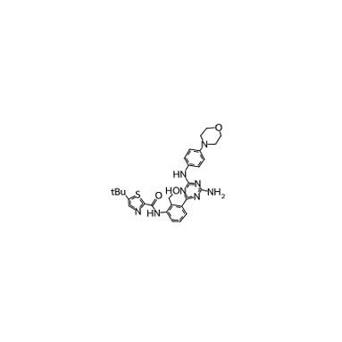 CC(C)(C)c1cnc(C(=O)Nc2cccc(-c3nc(N)nc(Nc4ccc(N5CCOCC5)cc4)n3)c2CO)s1